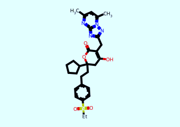 CCS(=O)(=O)c1ccc(CCC2(C3CCCC3)CC(O)=C(Cc3nc4nc(C)cc(C)n4n3)C(=O)O2)cc1